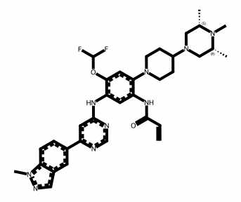 C=CC(=O)Nc1cc(Nc2cc(-c3ccc4c(cnn4C)c3)ncn2)c(OC(F)F)cc1N1CCC(N2C[C@@H](C)N(C)[C@@H](C)C2)CC1